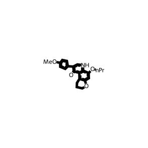 CCCOc1cc2c(c3c(=O)c(-c4ccc(OC)cc4)c[nH]c13)CCCO2